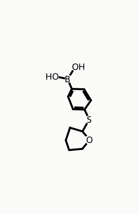 OB(O)c1ccc(SC2CCCCO2)cc1